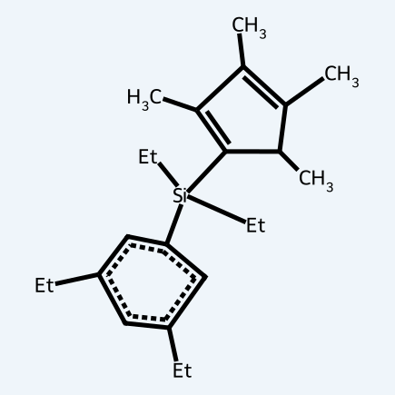 CCc1cc(CC)cc([Si](CC)(CC)C2=C(C)C(C)=C(C)C2C)c1